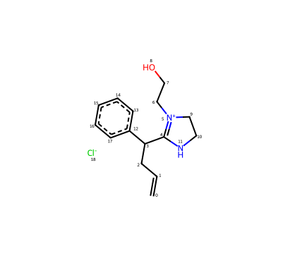 C=CCC(C1=[N+](CCO)CCN1)c1ccccc1.[Cl-]